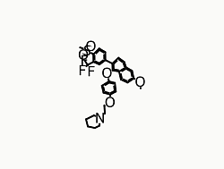 COc1ccc2c(Oc3ccc(OCCN4CCCCC4)cc3)c(-c3ccc(S(C)(=O)=O)c(C(F)(F)F)c3)ccc2c1